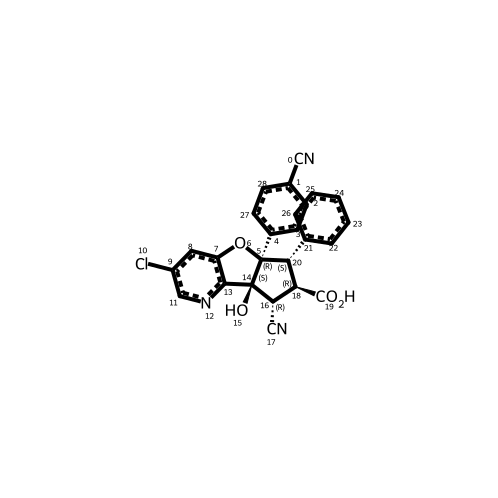 N#Cc1ccc([C@@]23Oc4cc(Cl)cnc4[C@@]2(O)[C@@H](C#N)[C@H](C(=O)O)[C@H]3c2ccccc2)cc1